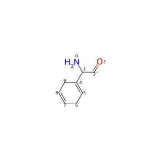 NC([C]=O)C1=CCC=CC1